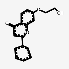 O=c1cc(-c2ccccc2)oc2cc(OCCO)ccc12